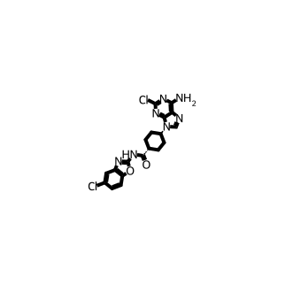 Nc1nc(Cl)nc2c1ncn2[C@H]1CC[C@@H](C(=O)Nc2nc3cc(Cl)ccc3o2)CC1